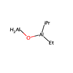 C[CH2][Al]([O][AlH2])[CH](C)C